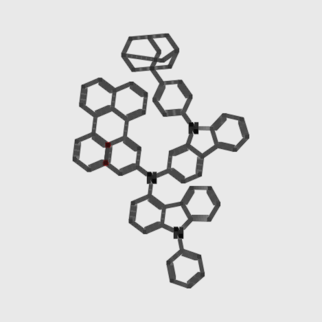 c1ccc(-c2cccc3cccc(-c4cccc(N(c5ccc6c7ccccc7n(-c7ccc(C89CC%10CC(CC(C%10)C8)C9)cc7)c6c5)c5cccc6c5c5ccccc5n6-c5ccccc5)c4)c23)cc1